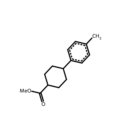 COC(=O)C1CCC(c2ccc(C)cc2)CC1